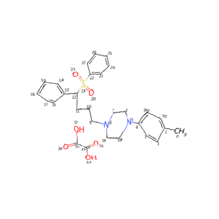 Cc1ccc(N2CCN(CCCC(c3ccccc3)S(=O)(=O)c3ccccc3)CC2)cc1.O=C(O)C(=O)O